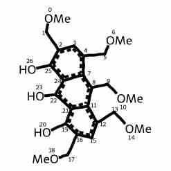 COCc1cc(COC)c2c(COC)c3c(COC)cc(COC)c(O)c3c(O)c2c1O